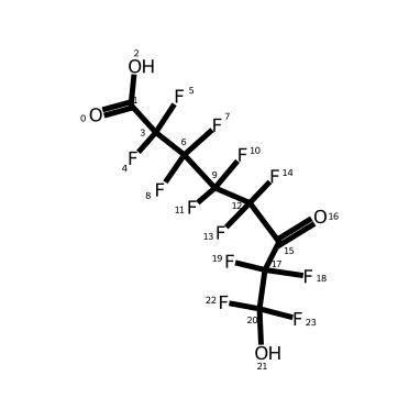 O=C(O)C(F)(F)C(F)(F)C(F)(F)C(F)(F)C(=O)C(F)(F)C(O)(F)F